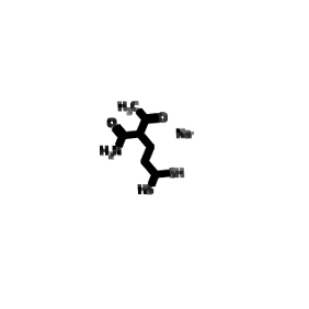 CC(=O)C(CCC(S)S)C(N)=O.[Na]